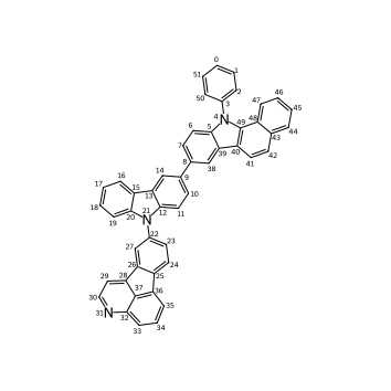 c1ccc(-n2c3ccc(-c4ccc5c(c4)c4ccccc4n5-c4ccc5c(c4)-c4ccnc6cccc-5c46)cc3c3ccc4ccccc4c32)cc1